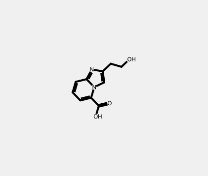 O=C(O)c1cccc2nc(CCO)cn12